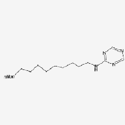 CCCCCCCCCCCCCCCCCCNc1ncncn1